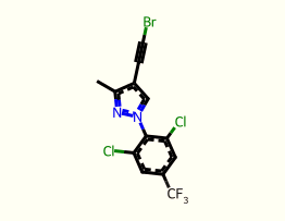 Cc1nn(-c2c(Cl)cc(C(F)(F)F)cc2Cl)cc1C#CBr